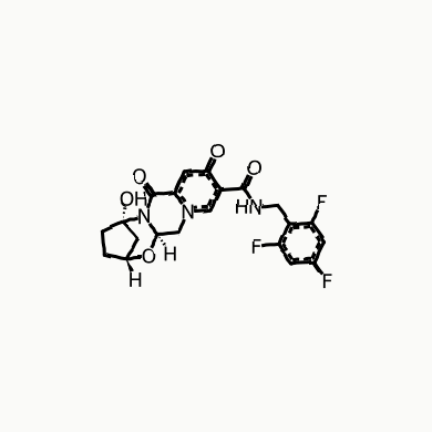 O=C(NCc1c(F)cc(F)cc1F)c1cn2c(cc1=O)C(=O)N1[C@@H](C2)O[C@@H]2CC[C@]1(O)C2